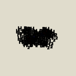 BC/C(=C(B)\C(B)=C(\B)C#C)N(/C(C#C)=C(/C=C(\C)c1c(B)c(B)c(B)c(B)c1B)C(=C)/C(B)=C(/B)C(B)=C(B)B)c1ccc2ccc3c(N(C4=C(c5c(B)c(B)c(B)c(B)c5B)C=C(c5c(B)c(B)c(B)c(B)c5B)C4)C4=C(B)C(B)=C(B)C4B)ccc4ccc1c2c43